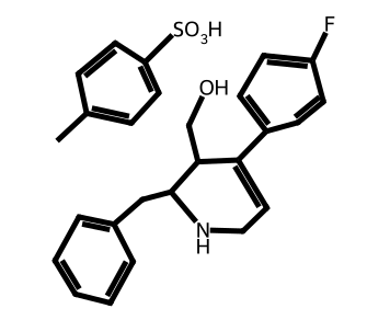 Cc1ccc(S(=O)(=O)O)cc1.OCC1C(c2ccc(F)cc2)=CCNC1Cc1ccccc1